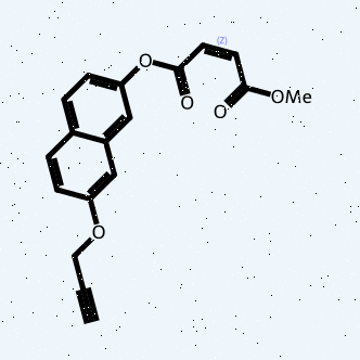 C#CCOc1ccc2ccc(OC(=O)/C=C\C(=O)OC)cc2c1